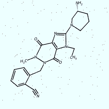 CCn1c(N2CCC[C@@H](N)C2)nc2c(=O)n(C)n(Cc3ccccc3C#N)c(=O)c21